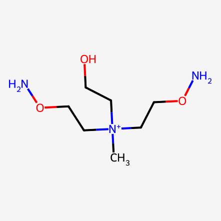 C[N+](CCO)(CCON)CCON